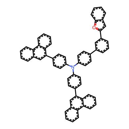 c1cc(-c2ccc(N(c3ccc(-c4cc5ccccc5c5ccccc45)cc3)c3ccc(-c4cc5ccccc5c5ccccc45)cc3)cc2)cc(-c2cc3ccccc3o2)c1